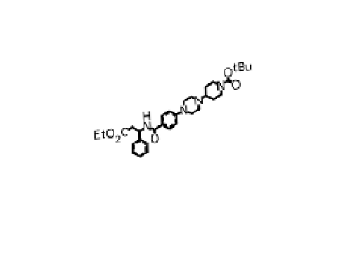 CCOC(=O)CC(NC(=O)c1ccc(N2CCN(C3CCN(C(=O)OC(C)(C)C)CC3)CC2)cc1)c1ccccc1